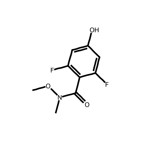 CON(C)C(=O)c1c(F)cc(O)cc1F